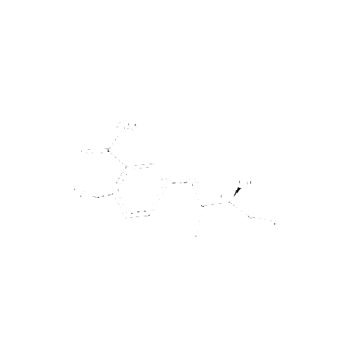 COC(=O)c1cc(NC(=O)[C@@H](O)CBr)ccc1C#N